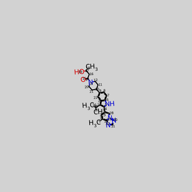 Cc1cc(-c2[nH]c3ccc(C4CCN(C(=O)CC(C)O)CC4)cc3c2C(C)C)cn2ncnc12